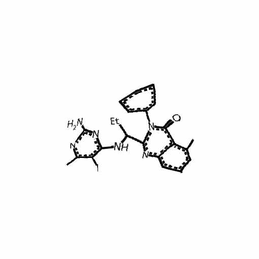 CCC(Nc1nc(N)nc(C)c1I)c1nc2cccc(C)c2c(=O)n1-c1ccccc1